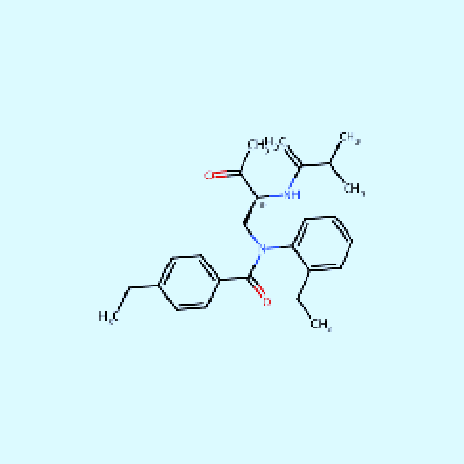 C=C(N[C@@H](CN(C(=O)c1ccc(CC)cc1)c1ccccc1CC)C(C)=O)C(C)C